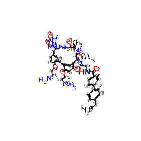 BCc1ccc(-c2ccc(C(=O)NCC(=O)N(C)C3C(=O)N[C@@H](C)C(=O)NC(c4noc(=O)[nH]4)Cc4ccc(OCCN)c(c4)-c4cc3ccc4OCCN)cc2)cc1